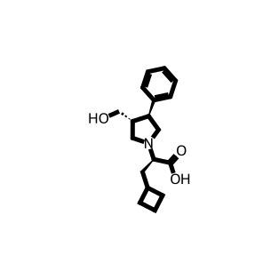 O=C(O)[C@@H](CC1CCC1)N1C[C@H](CO)[C@@H](c2ccccc2)C1